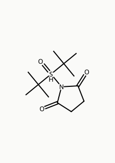 CC(C)(C)[SH](=O)(N1C(=O)CCC1=O)C(C)(C)C